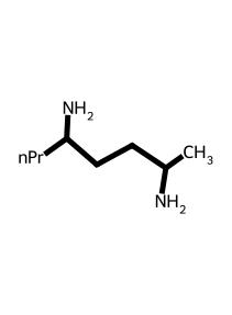 CCCC(N)CCC(C)N